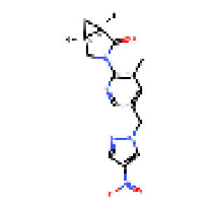 Cc1cc(Cn2cc([N+](=O)[O-])cn2)cnc1N1C[C@H]2C[C@H]2C1=O